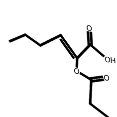 CCCC=C(OC(=O)CC)C(=O)O